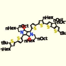 CCCCCCCCC(CCCCCC)CN1C(=O)C2=C(c3ccc(-c4cc(CCCCCC)c(C(C)(C)C)s4)s3)N(CC(CCCCCC)CCCCCCCC)C(=O)C2=C1c1ccc(-c2cc(CCCCCC)c(-c3cc4c(s3)-c3sc(C(C)(C)C)cc3C4(CCCCCCCC)CCCCCCCC)s2)s1